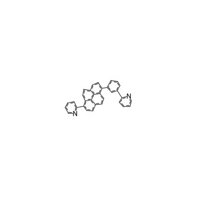 c1ccc(-c2cccc(-c3ccc4ccc5c(-c6ccccn6)ccc6ccc3c4c65)c2)nc1